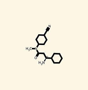 CN(C(=O)C[C@H](N)C1CCCCC1)C1CCC(C#N)CC1